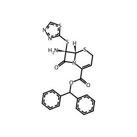 N[C@]1(Sc2nncs2)C(=O)N2C(C(=O)OC(c3ccccc3)c3ccccc3)=CCS[C@H]21